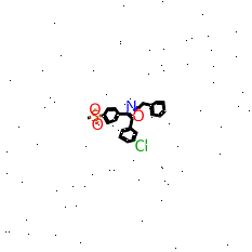 CS(=O)(=O)c1ccc(-c2nc(Cc3ccccc3)oc2-c2cccc(Cl)c2)cc1